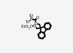 CCOC(=O)OCC1(COC(=O)N(CC)CC)c2ccccc2-c2ccccc21